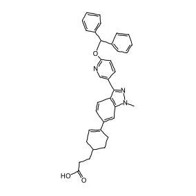 Cn1nc(-c2ccc(OC(c3ccccc3)c3ccccc3)nc2)c2ccc(C3=CCC(CCC(=O)O)CC3)cc21